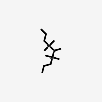 CC[CH2][Sn]([CH3])([CH3])[N](C)[Sn]([CH3])([CH3])[CH2]CC